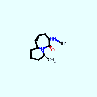 CC(C)N[C@H]1CC=CC2CCC[C@@H](C)N2C1=O